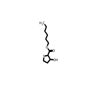 CCCCCCOC(=O)C1SCCC1O